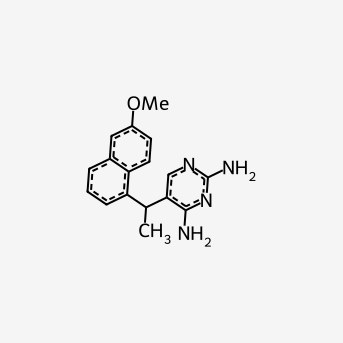 COc1ccc2c(C(C)c3cnc(N)nc3N)cccc2c1